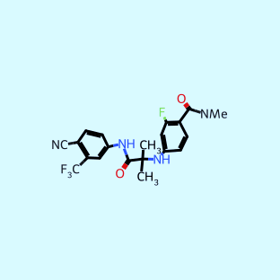 CNC(=O)c1ccc(NC(C)(C)C(=O)Nc2ccc(C#N)c(C(F)(F)F)c2)cc1F